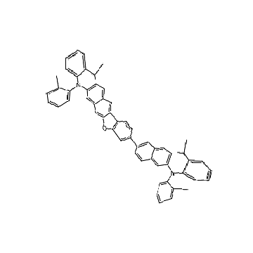 Cc1ccccc1N(c1ccc2cc(-c3ccc4c(c3)oc3cc5cc(N(c6ccccc6C)c6ccccc6C(C)C)ccc5cc34)ccc2c1)c1ccccc1C(C)C